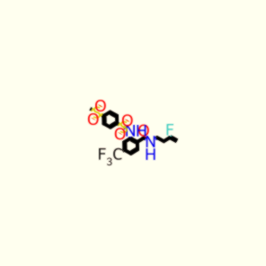 C=C(F)CCNC(=O)c1ccc(C(F)(F)F)cc1NS(=O)(=O)c1ccc(S(C)(=O)=O)cc1